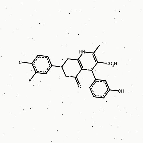 CC1=C(C(=O)O)C(c2cccc(O)c2)C2=C(CC(c3ccc(Cl)c(F)c3)CC2=O)N1